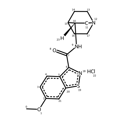 COc1ccc2c(C(=O)N[C@H]3CN4CCC3CC4)nsc2c1.Cl